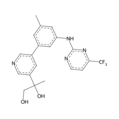 Cc1cc(Nc2nccc(C(F)(F)F)n2)cc(-c2cncc(C(C)(O)CO)c2)c1